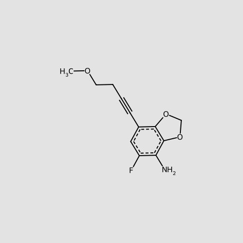 COCCC#Cc1cc(F)c(N)c2c1OCO2